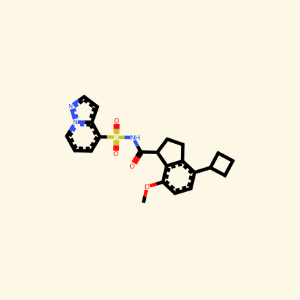 COc1ccc(C2CCC2)c2c1C(C(=O)NS(=O)(=O)c1cccn3nccc13)CC2